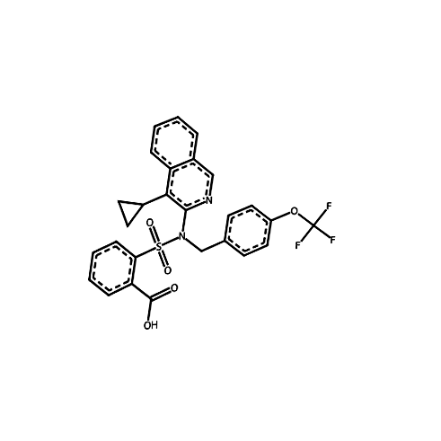 O=C(O)c1ccccc1S(=O)(=O)N(Cc1ccc(OC(F)(F)F)cc1)c1ncc2ccccc2c1C1CC1